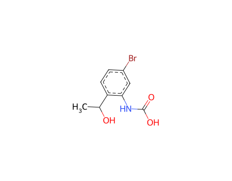 CC(O)c1ccc(Br)cc1NC(=O)O